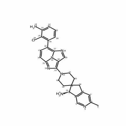 Cc1cc2c(cn1)[C@@H](N)C1(CCN(c3nc4ccc(-c5ccnc(N)c5Cl)c5ncc3n45)CC1)C2